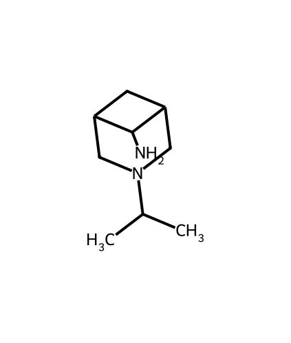 CC(C)N1CC2CC(C1)C2N